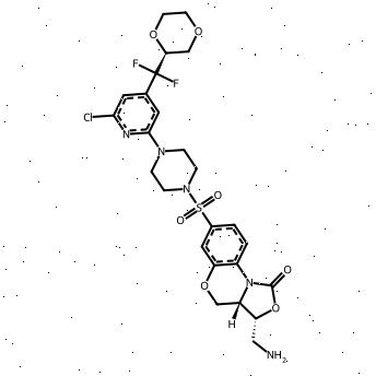 NC[C@H]1OC(=O)N2c3ccc(S(=O)(=O)N4CCN(c5cc(C(F)(F)[C@@H]6COCCO6)cc(Cl)n5)CC4)cc3OC[C@@H]12